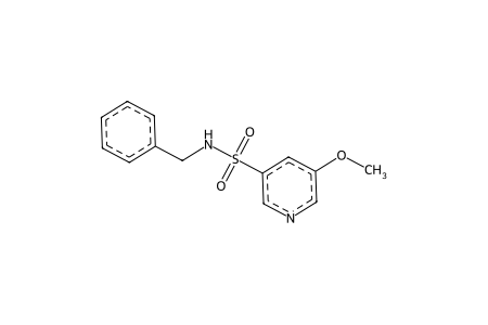 COc1cncc(S(=O)(=O)NCc2ccccc2)c1